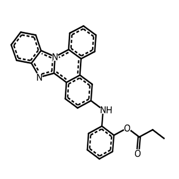 CCC(=O)Oc1ccccc1Nc1ccc2c(c1)c1ccccc1n1c3ccccc3nc21